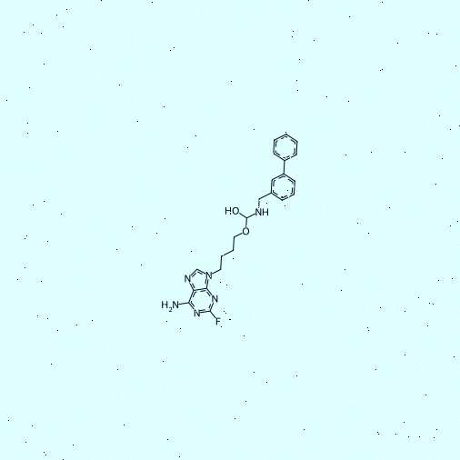 Nc1nc(F)nc2c1ncn2CCCCOC(O)NCc1cccc(-c2ccccc2)c1